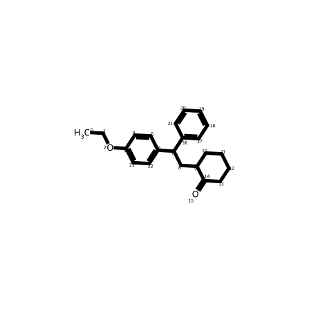 CCOc1ccc(C(CC2CCCCC2=O)c2ccccc2)cc1